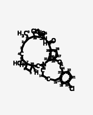 C[C@@H]1CCC[C@H](O)[C@@H]2CC[C@H]2CN2CCCCc3cc(Cl)ccc3COc3ccc(cc32)C(=O)NS(=O)(=O)[C@@H]1C